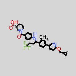 Cc1cc(-c2ccc(OCC3CC3)nc2)ccc1C(CCC(F)(F)F)Nc1ccc(C(=O)N2CCC[C@@H](C(=O)O)C2)cc1